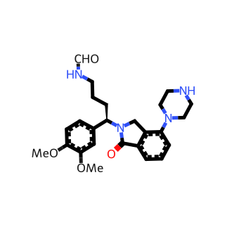 COc1ccc([C@@H](CCCNC=O)N2Cc3c(cccc3N3CCNCC3)C2=O)cc1OC